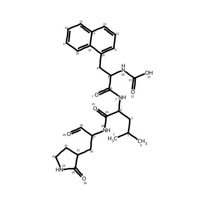 CC(C)CC(NC(=O)C(Cc1cccc2ccccc12)NC(=O)O)C(=O)NC(C=O)CC1CCNC1=O